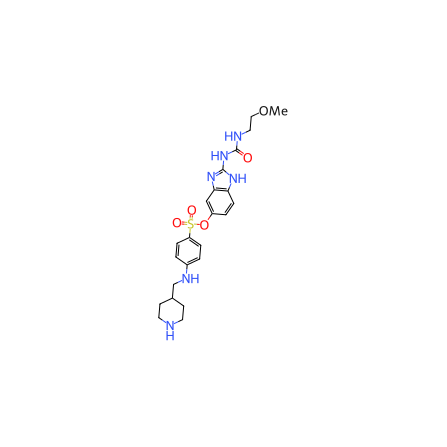 COCCNC(=O)Nc1nc2cc(OS(=O)(=O)c3ccc(NCC4CCNCC4)cc3)ccc2[nH]1